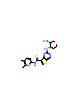 Cc1ccc(NC(=O)c2csc3cnc(N[C@@H]4CCOC[C@@H]4N)nc23)nc1C